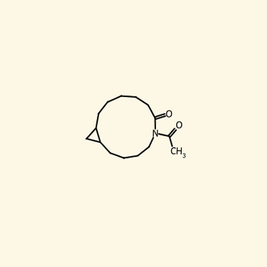 CC(=O)N1CCCCC2CC2CCCCCC1=O